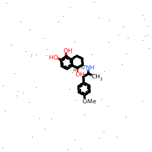 COc1ccc(CC(C)N[C@H]2CCc3c(ccc(O)c3O)[C@@H]2O)cc1